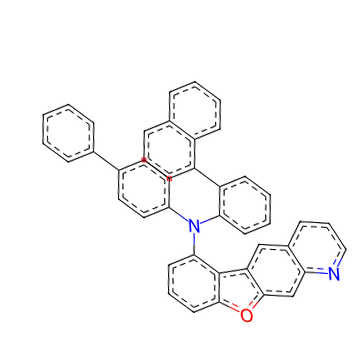 c1ccc(-c2ccc(N(c3ccccc3-c3cccc4ccccc34)c3cccc4oc5cc6ncccc6cc5c34)cc2)cc1